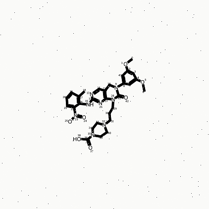 COc1cc(OC)cc(N2Cc3cnc(Nc4c(C)cccc4[N+](=O)[O-])nc3N(CCCN3CCN(C(=O)O)CC3)C2=O)c1